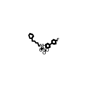 O=C(NCCCCCC1=CC=CCC1)n1c(=O)oc2cc(-c3ccc(F)cc3)ccc21